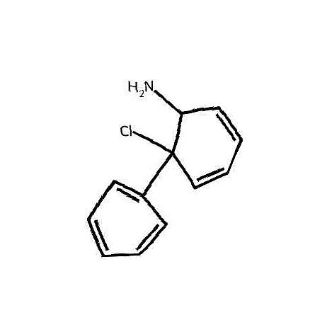 NC1C=CC=CC1(Cl)c1ccccc1